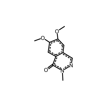 COc1cc2cnn(C)c(=O)c2cc1OC